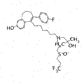 CC(C)(O)CN(CCCCCCC1=C(c2ccc(F)cc2)CCCc2cc(O)ccc21)CCC[S+]([O-])CCC(F)(F)F